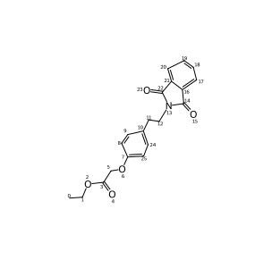 CCOC(=O)COc1ccc(CCN2C(=O)c3ccccc3C2=O)cc1